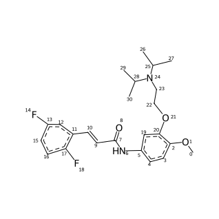 COc1ccc(NC(=O)/C=C/c2cc(F)ccc2F)cc1OCCN(C(C)C)C(C)C